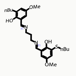 CCCCSc1cc(OC)cc(/C=N/CCC/N=C/c2cc(OC)cc(CCCC)c2O)c1O